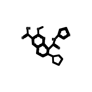 COc1nc2c(C(=O)Nc3ccsc3)c(C3CCCC3)ccc2cc1C(=O)O